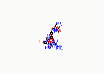 CC[C@H](C)[C@H](NC(C)=O)C(=O)N[C@@H](CCCCN)C(=O)NCc1ccc(-c2cccc(CC(=O)N[C@@H](CCCNC(=N)N)C(=O)N[C@@H](Cc3c[nH]cn3)C(=O)N[C@@H](Cc3ccc(O)cc3)C(=O)N[C@@H](CC(C)C)C(=O)NC)c2)cc1